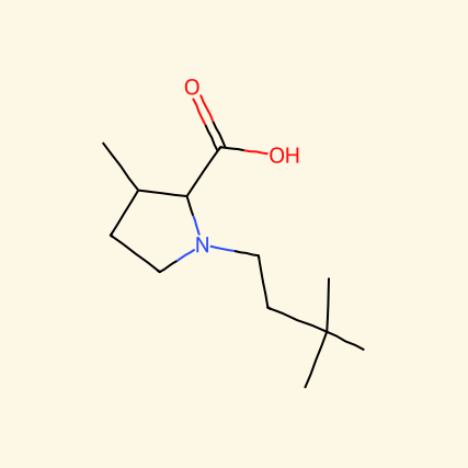 CC1CCN(CCC(C)(C)C)C1C(=O)O